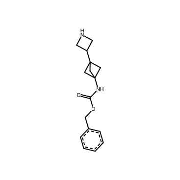 O=C(NC12CC(C3CNC3)(C1)C2)OCc1ccccc1